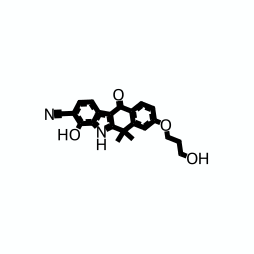 CC1(C)c2cc(OCCCO)ccc2C(=O)c2c1[nH]c1c(O)c(C#N)ccc21